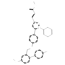 COC(=O)C=Cc1cc(-c2ccc(OCc3cc(OC)ccc3-c3ccc(Cl)cc3)cc2)n(C2CCCCC2)n1